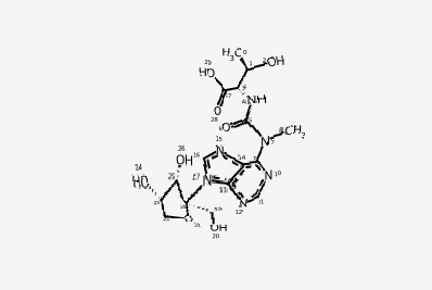 C[C@@H](O)[C@H](NC(=O)N(C)c1ncnc2c1ncn2[C@@]1(CO)OC[C@H](O)[C@@H]1O)C(=O)O